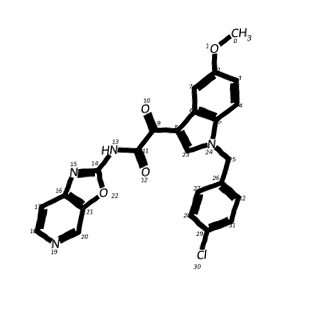 COc1ccc2c(c1)c(C(=O)C(=O)Nc1nc3ccncc3o1)cn2Cc1ccc(Cl)cc1